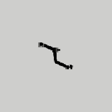 CCC[CH2][BiH][CH](C)C